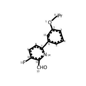 CC(C)Oc1cccc(-c2ccc(F)c(C=O)n2)c1